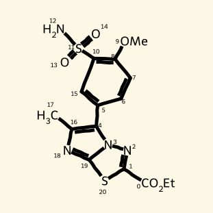 CCOC(=O)c1nn2c(-c3ccc(OC)c(S(N)(=O)=O)c3)c(C)nc2s1